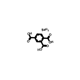 O=C(O)c1ccc(C(=O)O)c(C(=O)O)c1.[BaH2]